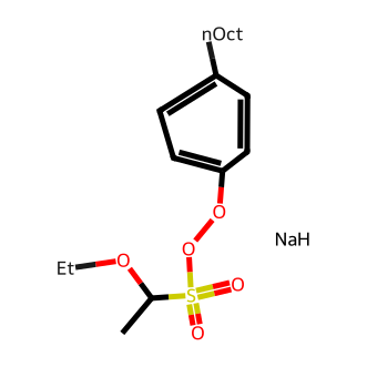 CCCCCCCCc1ccc(OOS(=O)(=O)C(C)OCC)cc1.[NaH]